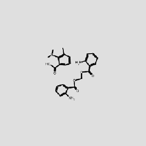 Cc1cccc(C(=O)O)c1N(C)C.Nc1ccccc1C(=O)OCOC(=O)c1ccccc1N